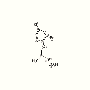 CC(COc1ncc(Cl)cc1Br)NC(=O)O